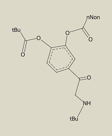 CCCCCCCCCC(=O)Oc1cc(C(=O)CNC(C)(C)C)ccc1OC(=O)C(C)(C)C